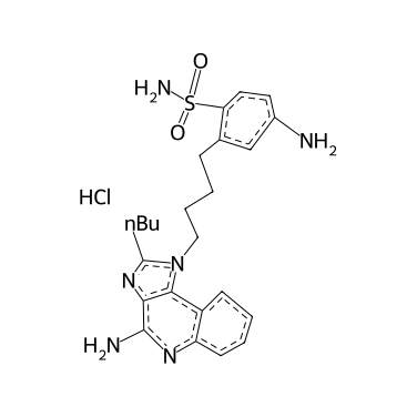 CCCCc1nc2c(N)nc3ccccc3c2n1CCCCc1cc(N)ccc1S(N)(=O)=O.Cl